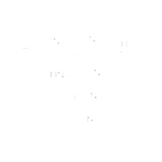 [N-]=[N+]=N[Si](NC=O)(NC=O)NC=O